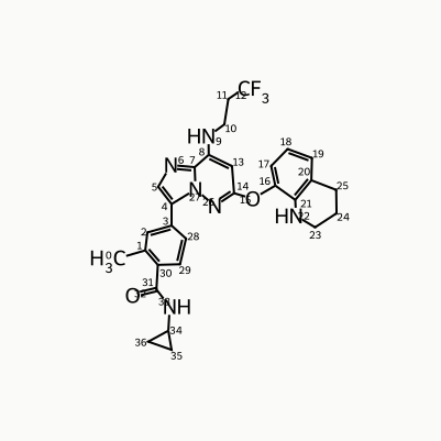 Cc1cc(-c2cnc3c(NCCC(F)(F)F)cc(Oc4cccc5c4NCCC5)nn23)ccc1C(=O)NC1CC1